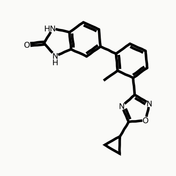 Cc1c(-c2ccc3[nH]c(=O)[nH]c3c2)cccc1-c1noc(C2CC2)n1